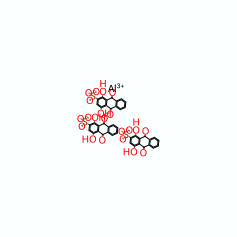 O=C1c2ccccc2C(=O)c2c(O)c(S(=O)(=O)[O-])cc(O)c21.O=C1c2ccccc2C(=O)c2c(O)c(S(=O)(=O)[O-])cc(O)c21.O=C1c2ccccc2C(=O)c2c(O)c(S(=O)(=O)[O-])cc(O)c21.[Al+3]